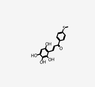 CSc1ccc(C(=O)C=Cc2c(O)cc(O)c(O)c2O)cc1